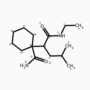 CCNC(=O)C(CC(C)C)C1(C(N)=O)CCCCC1